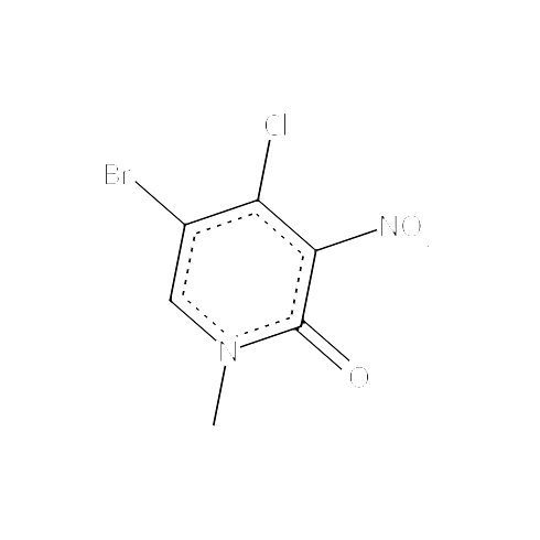 Cn1cc(Br)c(Cl)c([N+](=O)[O-])c1=O